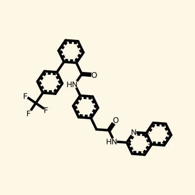 O=C(Cc1ccc(NC(=O)c2ccccc2-c2ccc(C(F)(F)F)cc2)cc1)Nc1ccc2ccccc2n1